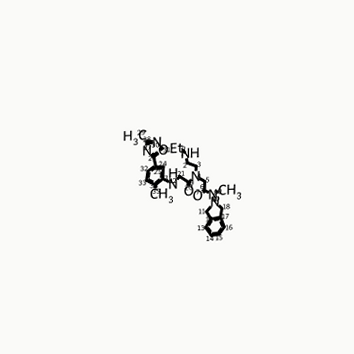 CCNCCN(CC(=O)N(C)N1Cc2ccccc2C1)C(=O)CNc1cc(-c2nc(C)no2)ccc1C